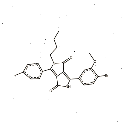 CCCCN1C(=O)C2=C(c3ccc(Br)c(OC)c3)NC(=O)C2=C1c1ccc(C)cc1